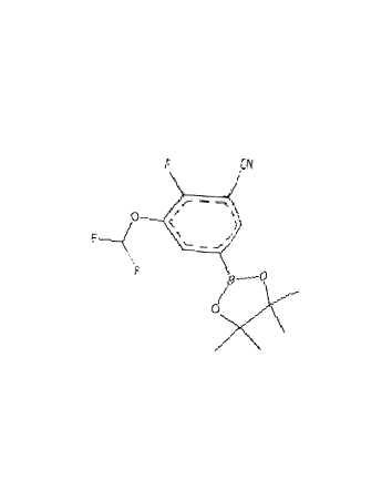 CC1(C)OB(c2cc(C#N)c(F)c(OC(F)F)c2)OC1(C)C